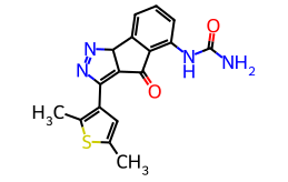 Cc1cc(C2=C3C(=O)c4c(NC(N)=O)cccc4C3N=N2)c(C)s1